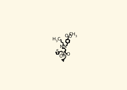 CCCCc1ncc(/C=C2/C(=O)N(CC3CC3)C(=O)N2Cc2cccs2)n1Cc1ccc(C(=O)OC)cc1